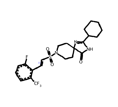 O=C1NC(C2CCCCC2)=NC12CCN(S(=O)(=O)/C=C/c1c(F)cccc1C(F)(F)F)CC2